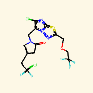 O=C1CC(CC(F)(F)Cl)CN1Cc1c(Cl)nc2sc(COCC(F)(F)F)nn12